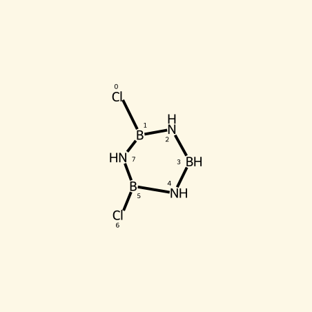 ClB1NBNB(Cl)N1